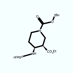 CCCCCCCN[C@H]1CCN(C(=O)OC(C)(C)C)C[C@H]1C(=O)OCC